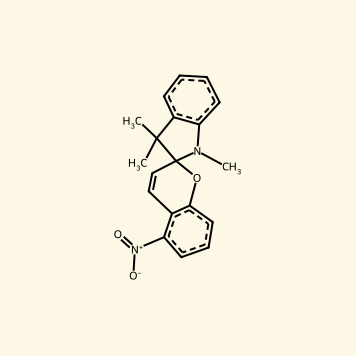 CN1c2ccccc2C(C)(C)C12C=Cc1c(cccc1[N+](=O)[O-])O2